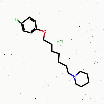 Cl.Fc1ccc(OCCCCCCCN2CCCCC2)cc1